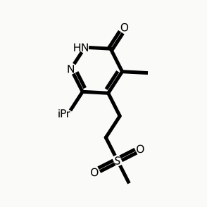 Cc1c(CCS(C)(=O)=O)c(C(C)C)n[nH]c1=O